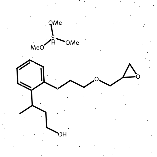 CC(CCO)c1ccccc1CCCOCC1CO1.CO[SiH](OC)OC